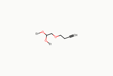 C#CCCOCC(OCC)OCC